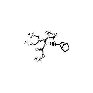 CCN(CC)C(=NC(=O)OC)N(C)C(=O)NC1CC2CCC1C2